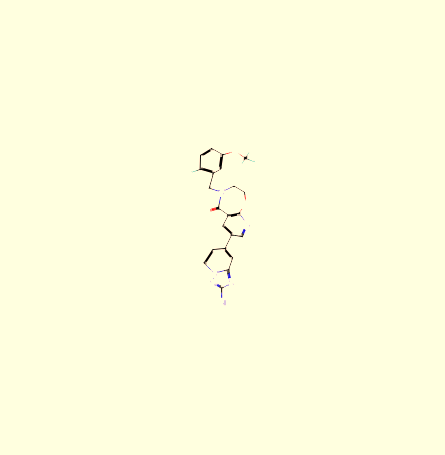 Nc1nc2cc(-c3cnc4c(c3)C(=O)N(Cc3cc(OC(F)(F)F)ccc3F)CCO4)ccn2n1